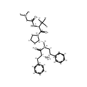 CN(C)CC(=O)N[C@H](C(=O)N1CCC[C@H]1CN(CCc1ccccc1)C(=O)[C@H](N)Cc1ccccc1)C(C)(C)C